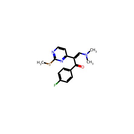 CSc1nccc(/C(=C/N(C)C)C(=O)c2ccc(F)cc2)n1